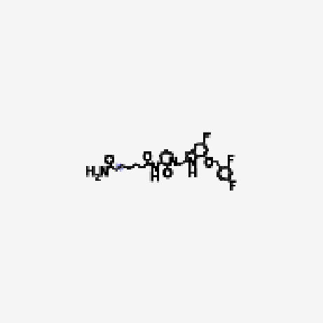 NC(=O)/C=C/CCCC(=O)Nc1cccn(Cc2cc3cc(F)cc(OCc4ccc(F)cc4F)c3[nH]2)c1=O